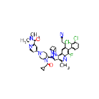 Cc1nc2c(F)c(-c3cccc(Cl)c3Cl)c(CCC#N)cc2c2c1cc(C1C3CC(CN(c4ccnc(C(=O)N(C)C)c4)C3)N1C(=O)C1CC1)n2C1C2CNC1C2